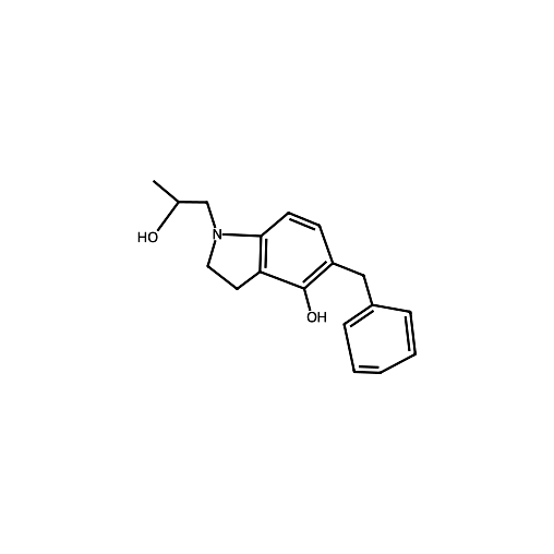 CC(O)CN1CCc2c1ccc(Cc1ccccc1)c2O